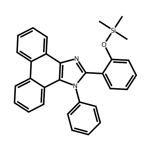 C[Si](C)(C)Oc1ccccc1-c1nc2c3ccccc3c3ccccc3c2n1-c1ccccc1